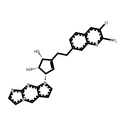 Nc1nc2cc(CCC3=C[C@H](n4ccc5cn6ccnc6nc54)[C@H](O)[C@@H]3O)ccc2cc1Cl